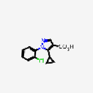 O=C(O)c1cnn(-c2ccccc2Cl)c1C1CC1